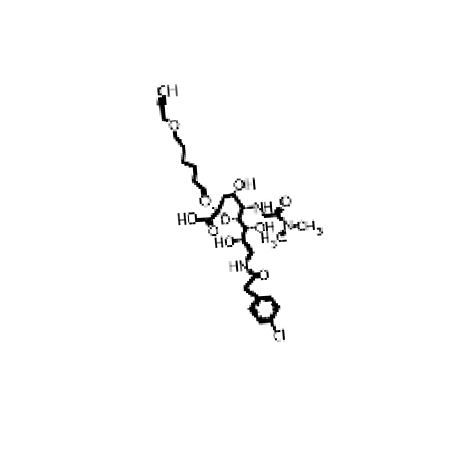 C#CCOCCCCCCO[C@]1(C(=O)O)C[C@H](O)[C@@H](NCC(=O)N(C)C)[C@H]([C@H](O)[C@H](O)CNC(=O)Cc2ccc(Cl)cc2)O1